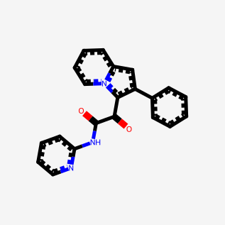 O=C(Nc1ccccn1)C(=O)c1c(-c2ccccc2)cc2ccccn12